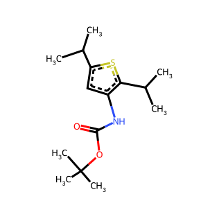 CC(C)c1cc(NC(=O)OC(C)(C)C)c(C(C)C)s1